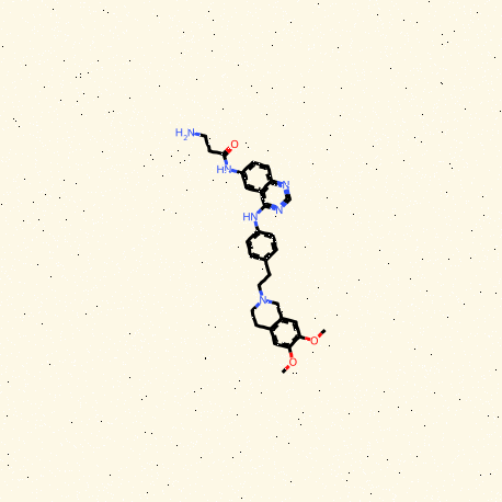 COc1cc2c(cc1OC)CN(CCc1ccc(Nc3ncnc4ccc(NC(=O)CCN)cc34)cc1)CC2